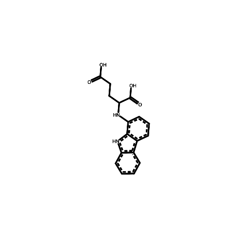 O=C(O)CCC(Nc1cccc2c1[nH]c1ccccc12)C(=O)O